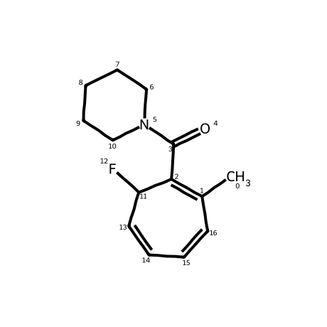 CC1=C(C(=O)N2CCCCC2)C(F)C=CC=C1